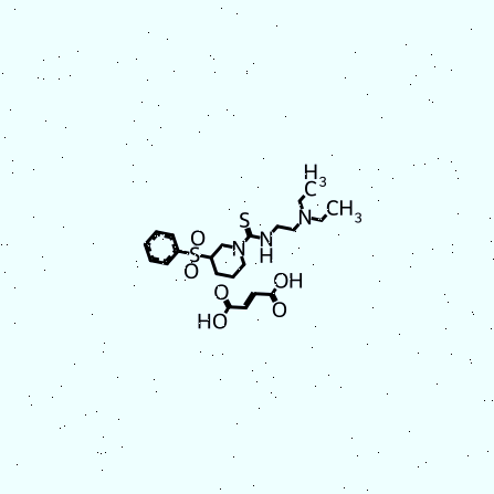 CCN(CC)CCNC(=S)N1CCCC(S(=O)(=O)c2ccccc2)C1.O=C(O)C=CC(=O)O